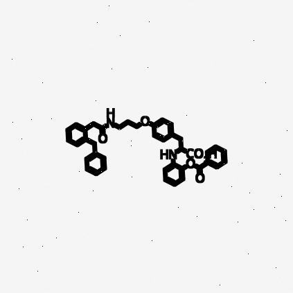 O=C(Cc1ccccc1Cc1ccccc1)NCCCOc1ccc(CC(Nc2ccccc2OC(=O)c2ccccc2)C(=O)O)cc1